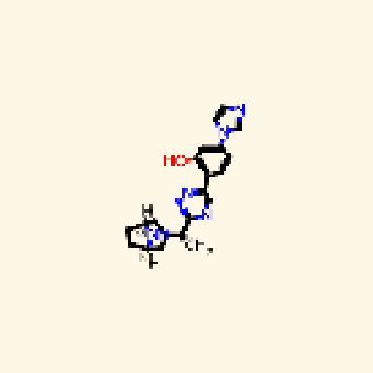 C=C(c1ncc(-c2ccc(-n3ccnc3)cc2O)nn1)C1C[C@H]2CC[C@@H](C1)N2